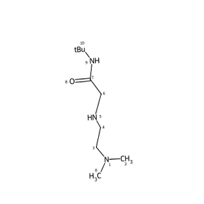 CN(C)CCNCC(=O)NC(C)(C)C